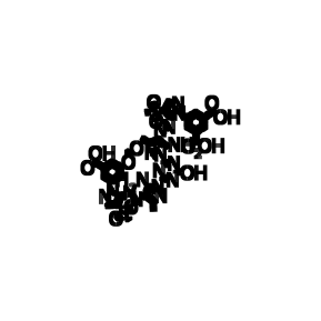 Cc1nn(-c2nc(O)nc(-n3nc(C)c(N=Nc4c(S(C)(=O)=O)cnn4-c4cc(C(=O)O)cc(C(=O)O)c4)c3N)n2)c(N)c1N=Nc1c(S(C)(=O)=O)cnn1-c1cc(OC=O)cc(C(=O)O)c1